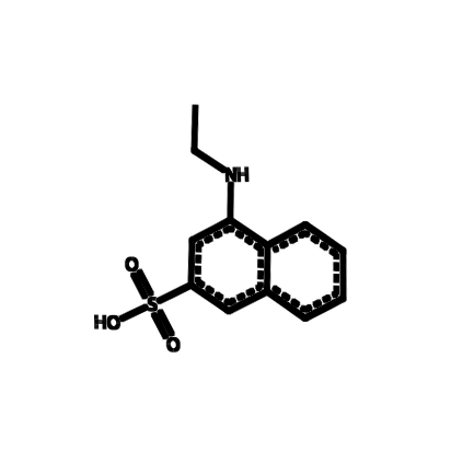 CCNc1cc(S(=O)(=O)O)cc2ccccc12